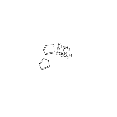 C1=CCC=C1.C1=CCC=C1.NC(=O)O.NC(=O)O